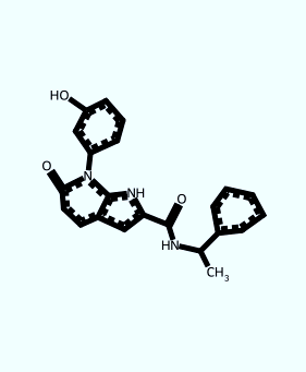 CC(NC(=O)c1cc2ccc(=O)n(-c3cccc(O)c3)c2[nH]1)c1ccccc1